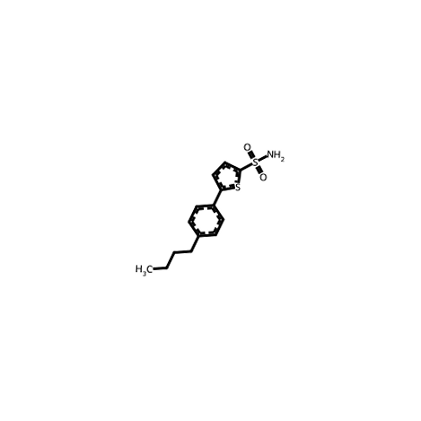 CCCCc1ccc(-c2ccc(S(N)(=O)=O)s2)cc1